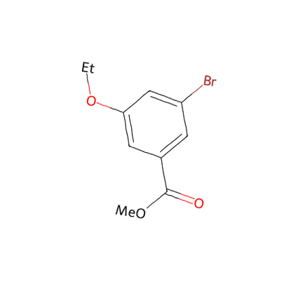 CCOc1cc(Br)cc(C(=O)OC)c1